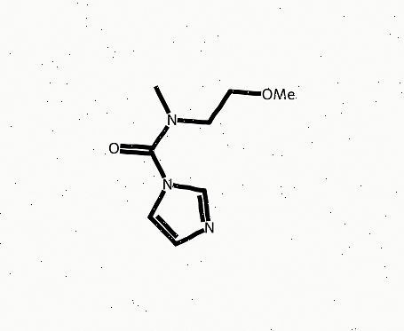 COCCN(C)C(=O)n1ccnc1